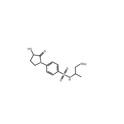 CCCCCCCCCCCC(C)NS(=O)(=O)c1ccc(N2CCC(O)C2=O)cc1